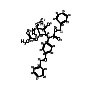 CS[C@@]1(N)C(=O)N(C(C(=O)OCc2ccccc2)c2ccc(OCc3ccccc3)cc2)[C@H]1OC(C)=O